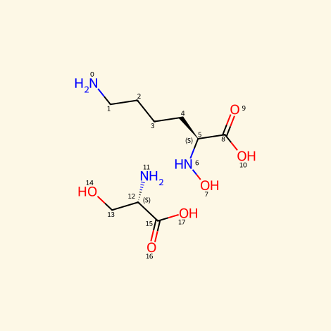 NCCCC[C@H](NO)C(=O)O.N[C@@H](CO)C(=O)O